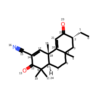 CC[C@@H]1CC2(C)CC[C@H]3C(C)(C)C(=O)C(C#N)=C[C@]3(C)C2=CC1=O